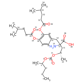 CCCC(C)OC(=O)O[C@@H](C)CC(N)(Cc1ccc(OC(=O)CCC(C)C)c(OC(=O)CCC(C)C)c1)C(=O)O